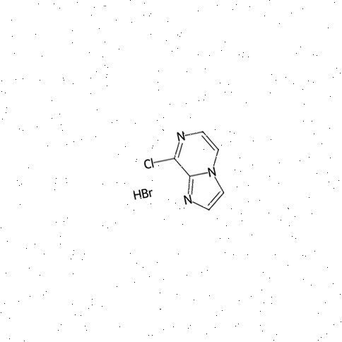 Br.Clc1nccn2ccnc12